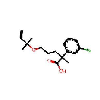 C=CC(C)(C)OCCCC(C)(C(=O)O)c1cccc(Br)c1